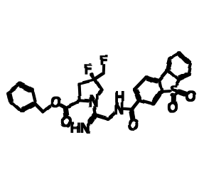 N=C(CNC(=O)c1ccc2c(c1)S(=O)(=O)c1ccccc1-2)N1C[C@@](F)(CF)CC1C(=O)OCc1ccccc1